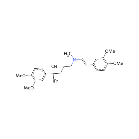 COc1ccc(C=CN(C)CCCC(C#N)(c2ccc(OC)c(OC)c2)C(C)C)cc1OC